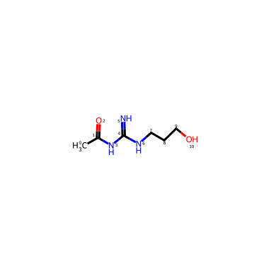 CC(=O)NC(=N)NCCCO